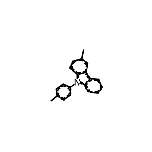 Cc1ccc(-n2c3ccccc3c3cc(C)ccc32)cc1